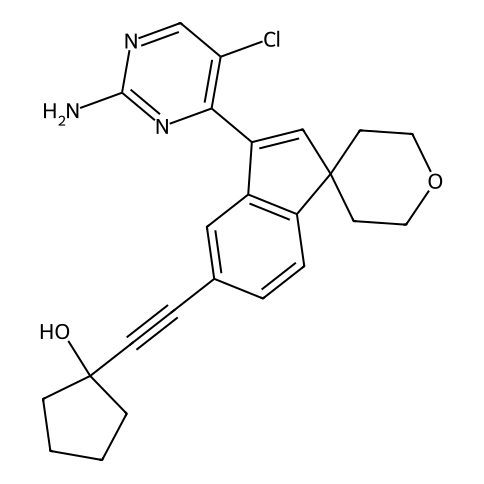 Nc1ncc(Cl)c(C2=CC3(CCOCC3)c3ccc(C#CC4(O)CCCC4)cc32)n1